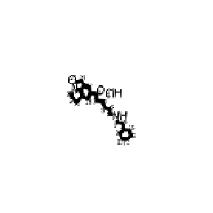 Cl.O=C(CCCCCNCCc1ccccc1)c1cc2c3c(c1)CC(=O)N3CCC2